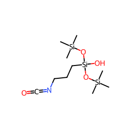 C[Si](C)(C)O[Si](O)(CCCN=C=O)O[Si](C)(C)C